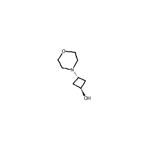 O[C@H]1C[C@H](N2CCOCC2)C1